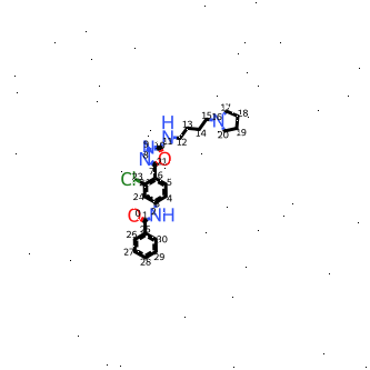 O=C(Nc1ccc(-c2nnc(NCCCCN3CCCC3)o2)c(Cl)c1)c1ccccc1